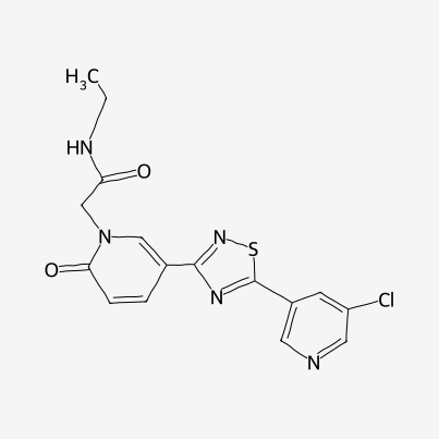 CCNC(=O)Cn1cc(-c2nsc(-c3cncc(Cl)c3)n2)ccc1=O